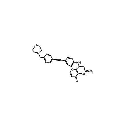 C=CCC(Nc1ccc(C#Cc2ccc(CN3CCOCC3)cc2)cc1)c1occc(=O)c1O